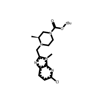 C[C@H]1CN(C(=O)OC(C)(C)C)CCN1Cc1nc2ccc(Cl)nc2n1C